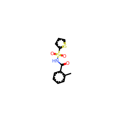 Cc1ccccc1C(=O)NS(=O)(=O)c1cccs1